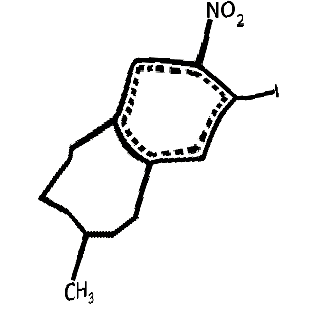 CC1CCc2cc([N+](=O)[O-])c(I)cc2C1